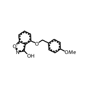 COc1ccc(COc2cccc3onc(O)c23)cc1